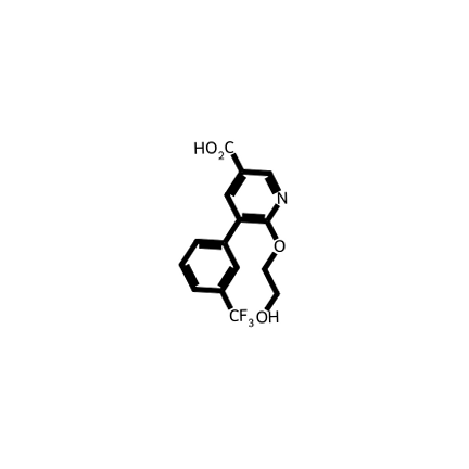 O=C(O)c1cnc(OCCO)c(-c2cccc(C(F)(F)F)c2)c1